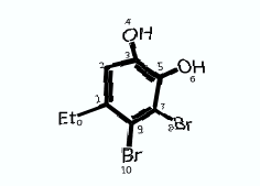 [CH2]Cc1cc(O)c(O)c(Br)c1Br